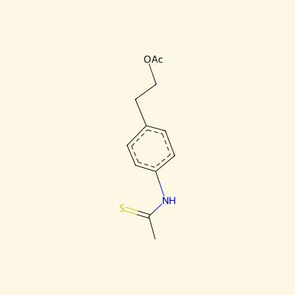 CC(=O)OCCc1ccc(NC(C)=S)cc1